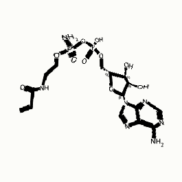 C=CC(=O)NCCOP(N)(=O)OP(=O)(O)OC[C@H]1O[C@@H](n2cnc3c(N)ncnc32)[C@H](O)[C@@H]1O